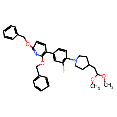 COC(CC1CCN(c2ccc(-c3ccc(OCc4ccccc4)nc3OCc3ccccc3)cc2F)CC1)OC